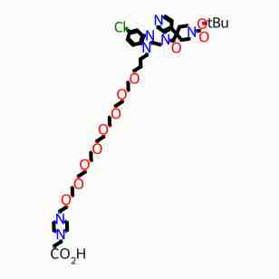 CC(C)(C)OC(=O)N1CCC2(CC1)C(=O)N(Cc1nc3cc(Cl)ccc3n1CCCCOCCOCCOCCOCCOCCOCCOCCOCCN1CCN(CCC(=O)O)CC1)c1cnccc12